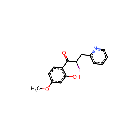 COc1ccc(C(=O)C(I)Cc2ccccn2)c(O)c1